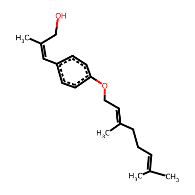 CC(C)=CCC/C(C)=C/COc1ccc(/C=C(/C)CO)cc1